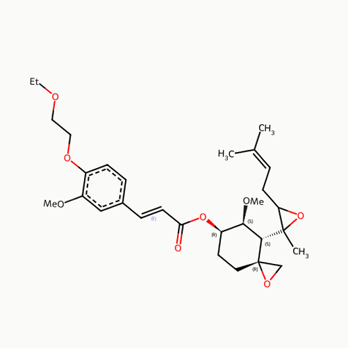 CCOCCOc1ccc(/C=C/C(=O)O[C@@H]2CC[C@]3(CO3)[C@@H](C3(C)OC3CC=C(C)C)[C@@H]2OC)cc1OC